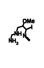 C=NC(I)C(CNCN)OC